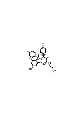 CO[C@]1(c2ccc(Cl)cc2)c2c(F)cc(Br)cc2C(=O)N1C(c1ccc(Cl)cc1)C(C)C(=O)OCC[Si](C)(C)C